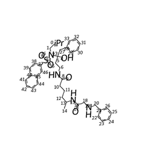 CC(C)CN(C(O)(CCNC(=O)CCCC(C)NC(=O)CNCc1ccccc1)Cc1ccccc1)S(=O)(=O)c1ccc2ccccc2c1